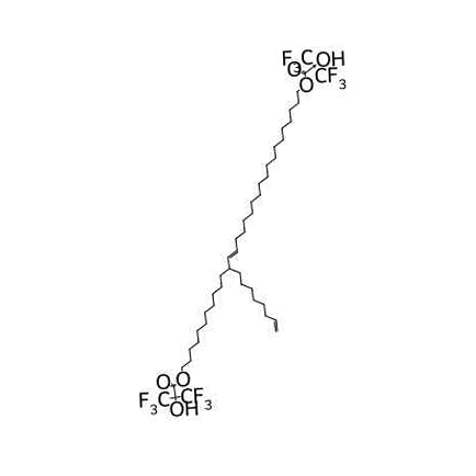 C=CCCCCCCC(/C=C/CCCCCCCCCCCCCCCCCOC(=O)C(O)(C(F)(F)F)C(F)(F)F)CCCCCCCCCCCOC(=O)C(O)(C(F)(F)F)C(F)(F)F